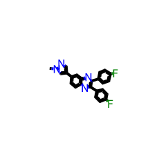 Cn1cc(-c2ccc3nc(-c4ccc(F)cc4)c(-c4ccc(F)cc4)nc3c2)cn1